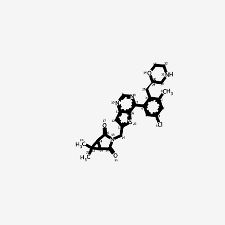 Cc1cc(Cl)cc(-c2ncnc3cc(CN4C(=O)C5C(C4=O)C5(C)C)sc23)c1C[C@@H]1CNCCO1